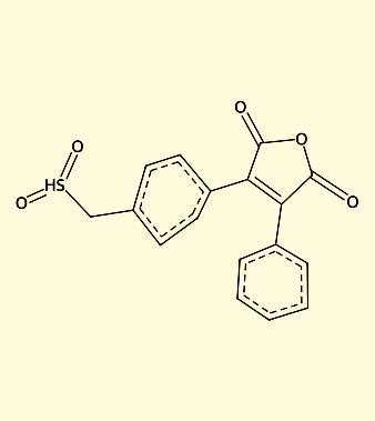 O=C1OC(=O)C(c2ccc(C[SH](=O)=O)cc2)=C1c1ccccc1